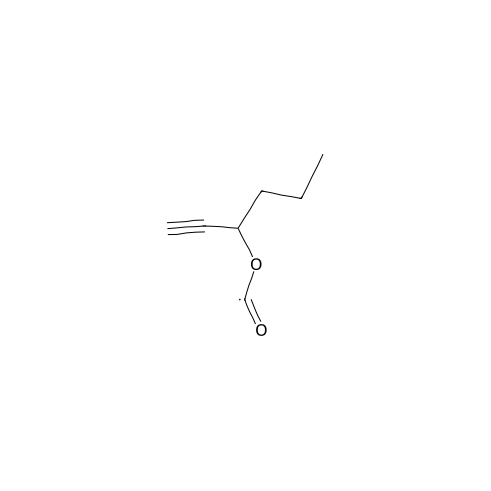 C#CC(CCC)O[C]=O